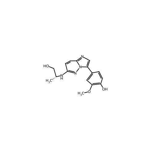 COc1cc(-c2cnc3ccc(N[C@H](C)CO)nn23)ccc1O